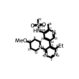 CCc1ncnc(N2CCC(OC)CC2)c1-c1cnc(C)c(NS(C)(=O)=O)c1